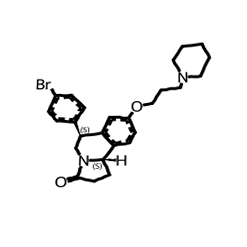 O=C1CC[C@H]2c3ccc(OCCCN4CCCCC4)cc3[C@H](c3ccc(Br)cc3)CN12